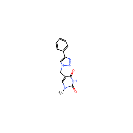 Cn1cc(Cn2cc(-c3ccccc3)nn2)c(=O)[nH]c1=O